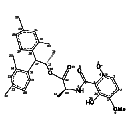 COc1cc[n+]([O-])c(C(=O)N[C@@H](C)C(=O)O[C@@H](C)C(c2ccc(C)cc2C)c2ccc(C)cc2C)c1O